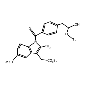 CCOC(=O)Cc1c(C)n(C(=O)c2ccc(CC(O)OCC)cc2)c2ccc(OC)cc12